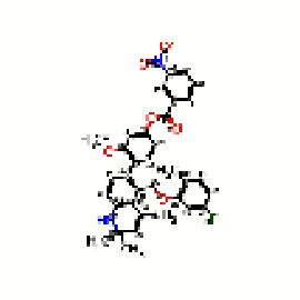 COc1cc(OC(=O)c2cccc([N+](=O)[O-])c2)ccc1-c1ccc2c(c1COc1cc(F)ccc1C)C(C)=CC(C)(C)N2